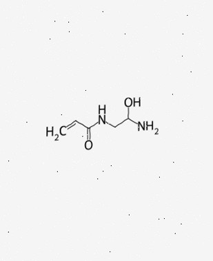 C=CC(=O)NCC(N)O